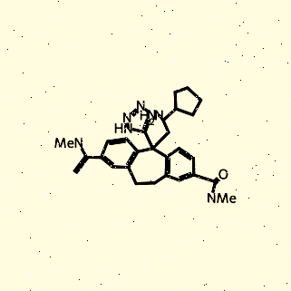 C=C(NC)c1ccc2c(c1)CCc1cc(C(=O)NC)ccc1C2(C[C@@H](N)C1CCCC1)c1nnn[nH]1